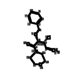 C=C[C@@H](Cl)[C@H](OCc1ccccc1)C(=O)N1CCOCC1